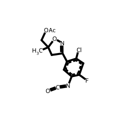 CC(=O)OCC1(C)CC(c2cc(N=C=O)c(F)cc2Cl)=NO1